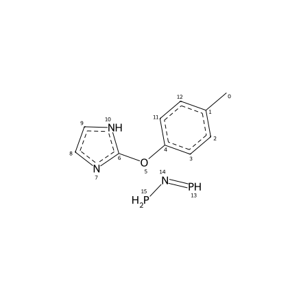 Cc1ccc(Oc2ncc[nH]2)cc1.P=NP